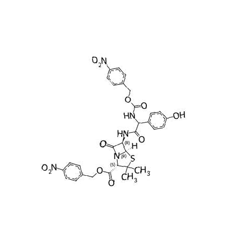 CC1(C)S[C@@H]2[C@H](NC(=O)C(NC(=O)OCc3ccc([N+](=O)[O-])cc3)c3ccc(O)cc3)C(=O)N2[C@H]1C(=O)OCc1ccc([N+](=O)[O-])cc1